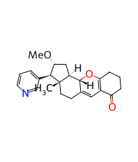 CO[C@@H]1C[C@H]2[C@@H]3OC4=C(C=C3CC[C@]2(C)[C@H]1c1cccnc1)C(=O)CCC4